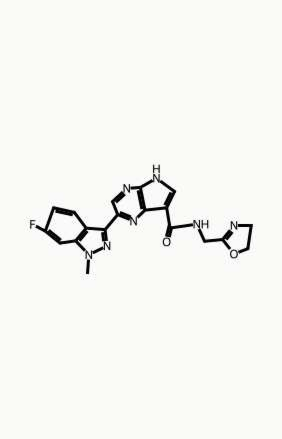 Cn1nc(-c2cnc3[nH]cc(C(=O)NCC4=NCCO4)c3n2)c2ccc(F)cc21